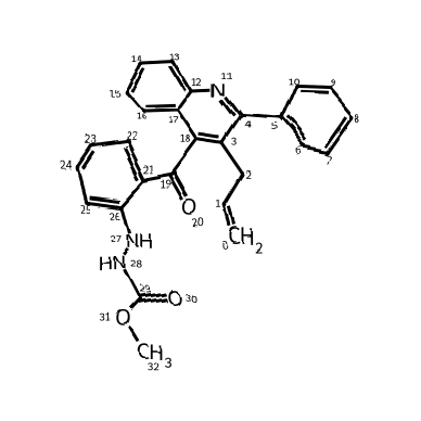 C=CCc1c(-c2ccccc2)nc2ccccc2c1C(=O)c1ccccc1NNC(=O)OC